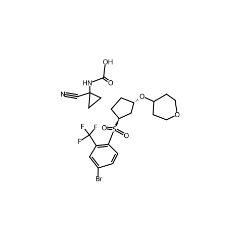 N#CC1(NC(=O)O)CC1.O=S(=O)(c1ccc(Br)cc1C(F)(F)F)[C@H]1CC[C@H](OC2CCOCC2)C1